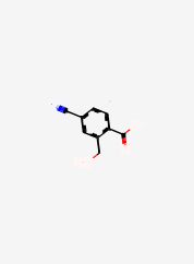 N#Cc1ccc(C(=O)[O-])c(CO)c1.[K+]